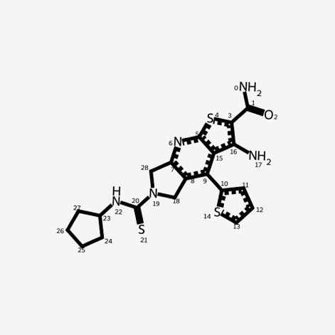 NC(=O)c1sc2nc3c(c(-c4cccs4)c2c1N)CN(C(=S)NC1CCCC1)C3